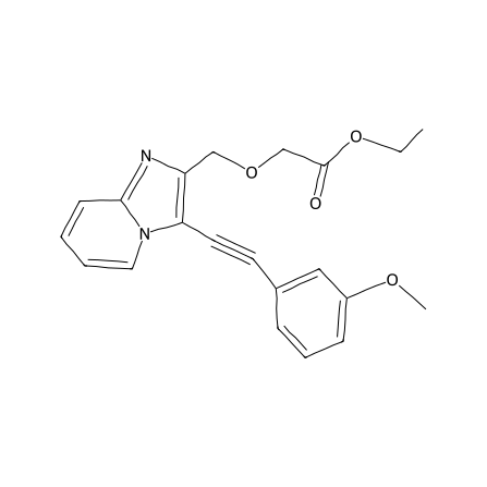 CCOC(=O)COCc1nc2ccccn2c1C#Cc1cccc(OC)c1